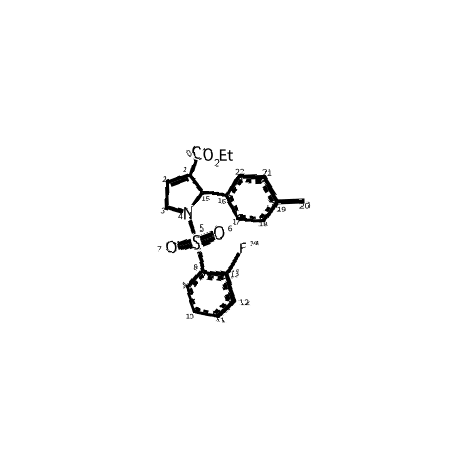 CCOC(=O)C1=CCN(S(=O)(=O)c2ccccc2F)C1c1ccc(C)cc1